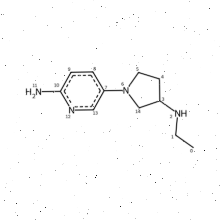 CCNC1CCN(c2ccc(N)nc2)C1